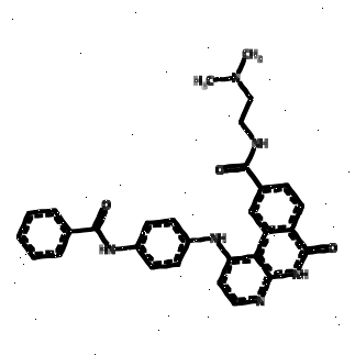 CN(C)CCNC(=O)c1ccc2c(=O)[nH]c3nccc(Nc4ccc(NC(=O)c5ccccc5)cc4)c3c2c1